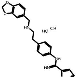 Cl.Cl.N=C(Nc1ccc(CCNCc2ccc3c(c2)OCO3)cc1)c1cccs1